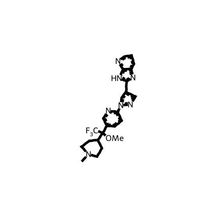 COC(c1ccc(-n2cc(-c3nc4cccnc4[nH]3)cn2)nc1)(C1CCN(C)CC1)C(F)(F)F